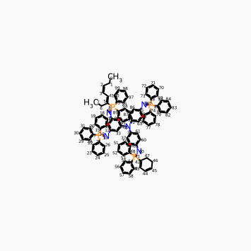 CC/C=C\C=C(/CC)P(=Nc1cc(N=P(c2ccccc2)(c2ccccc2)c2ccccc2)cc(N(c2ccc(N=P(C3=CC=CCC3)(c3ccccc3)c3ccccc3)cc2)c2ccc(N=P(c3ccccc3)(c3ccccc3)c3ccccc3)cc2)c1)(c1ccccc1)c1ccccc1